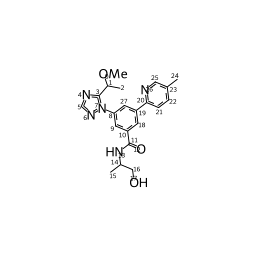 COC(C)c1ncnn1-c1cc(C(=O)NC(C)CO)cc(-c2ccc(C)cn2)c1